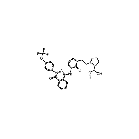 COC(O)C1CCCN1CCn1cccc(Nc2nn(-c3ccc(OC(F)(F)F)cc3)c(=O)c3ccccc23)c1=O